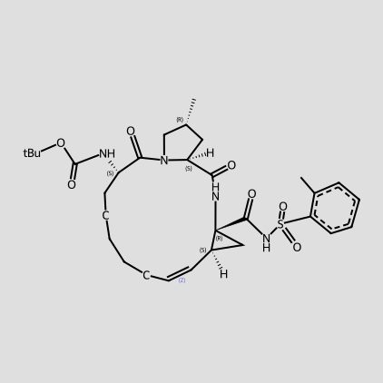 Cc1ccccc1S(=O)(=O)NC(=O)[C@@]12C[C@H]1/C=C\CCCCC[C@H](NC(=O)OC(C)(C)C)C(=O)N1C[C@H](C)C[C@H]1C(=O)N2